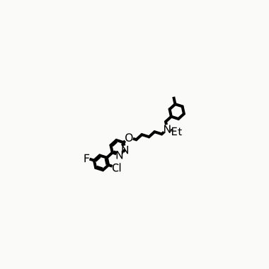 CCN(CCCCCOc1ccc(-c2cc(F)ccc2Cl)nn1)CC1CCCC(C)C1